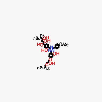 CCCCC(CC)COCC(O)COc1ccc(-c2nc(-c3ccc(OC)cc3)nc(-c3ccc(C(O)C(O)CC(O)C(CC)CCCC)cc3O)n2)c(O)c1